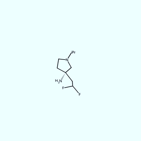 CC(C)N1CC[C@](N)(CC(F)F)C1